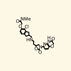 CNC(=O)COc1ccc2c(c1Cl)CC(CNCCC1CN(c3ccc4c(n3)NC(=O)CO4)C(=O)O1)C2